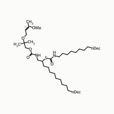 CCCCCCCCCCCCCCCCCCCC(CNC(=O)OCC(C)(C)OC/C=C(/C)OC)SC(=O)NCCCCCCCCCCCCCCCCCC